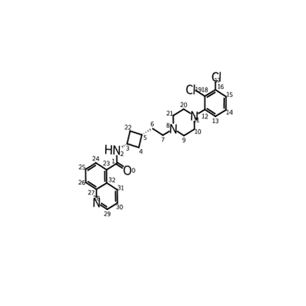 O=C(N[C@H]1C[C@@H](CCN2CCN(c3cccc(Cl)c3Cl)CC2)C1)c1cccc2ncccc12